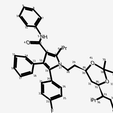 CC(C)c1c(C(=O)Nc2ccccc2)c(-c2ccccc2)c(-c2ccc(F)cc2)n1CC[C@@H]1C[C@H](C(CC(=O)O)C(C)C)OC(C)(C)O1